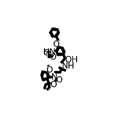 CCC1(CC)OC(=O)N(CCC(C)(C)NCC(O)c2ccc(OCc3ccccc3)c(NS(C)(=O)=O)c2)c2c(OC)cccc21